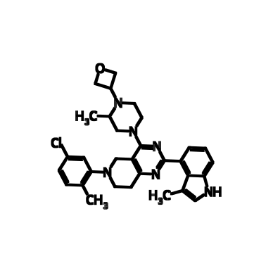 Cc1ccc(Cl)cc1N1CCc2nc(-c3cccc4[nH]cc(C)c34)nc(N3CCN(C4COC4)C(C)C3)c2C1